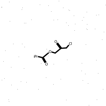 CC(C)C(=O)OCC(=O)CCl